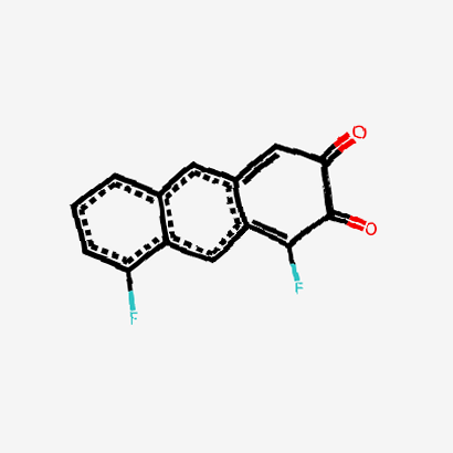 O=C1C=c2cc3cccc(F)c3cc2=C(F)C1=O